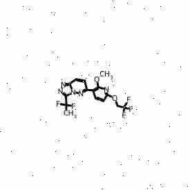 COc1nc(OCC(F)(F)F)ccc1-c1ccc2nnc(C(C)(F)F)n2n1